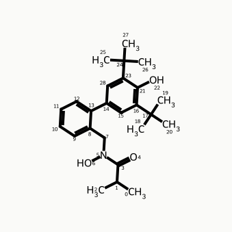 CC(C)C(=O)N(O)Cc1ccccc1-c1cc(C(C)(C)C)c(O)c(C(C)(C)C)c1